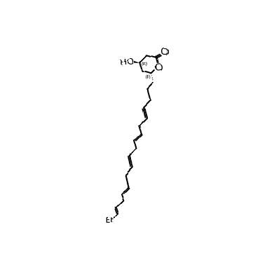 CCC=CCC=CCC=CCC=CCC=CCCC[C@@H]1C[C@@H](O)CC(=O)O1